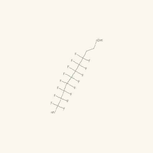 CCCCCCCCCCCCC(F)(F)C(F)(F)C(F)(F)C(F)(F)C(F)(F)C(F)(F)C(F)(F)C(F)(F)CCC